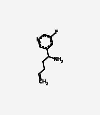 C=CCCC(N)c1cncc(F)c1